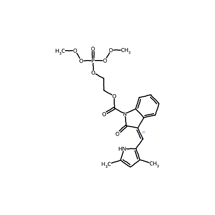 COOP(=O)(OCCOC(=O)N1C(=O)/C(=C\c2[nH]c(C)cc2C)c2ccccc21)OOC